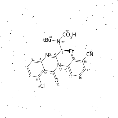 CC[C@@H](c1nc2cccc(Cl)c2c(=O)n1-c1cccc(C#N)c1)N(C(=O)O)C(C)(C)C